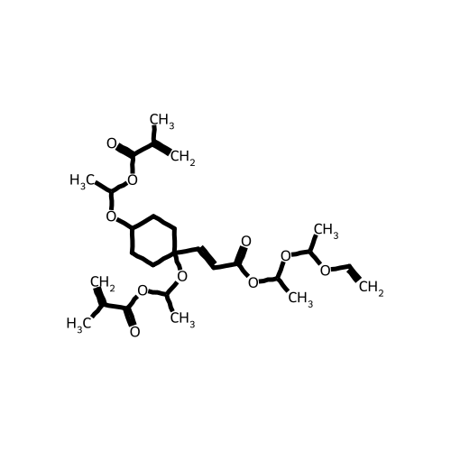 C=COC(C)OC(C)OC(=O)/C=C/C1(OC(C)OC(=O)C(=C)C)CCC(OC(C)OC(=O)C(=C)C)CC1